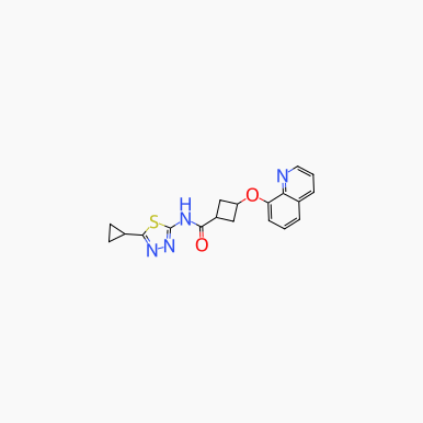 O=C(Nc1nnc(C2CC2)s1)C1CC(Oc2cccc3cccnc23)C1